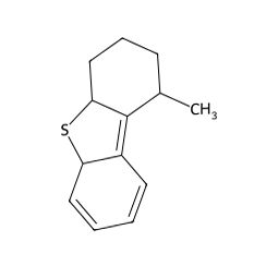 CC1CCCC2SC3C=CC=CC3=C12